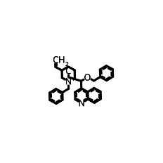 C=CC1C[N+]2(Cc3ccccc3)CCC1CC2C(OCc1ccccc1)c1ccnc2ccccc12